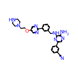 N#Cc1cccc(-c2cnc(N)c(NCc3cccc(-c4ncc(OCCN5CCNCC5)cn4)c3)n2)c1